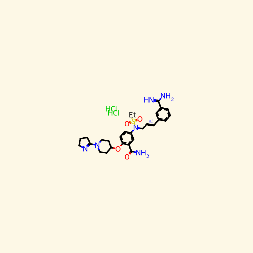 CCS(=O)(=O)N(C/C=C/c1cccc(C(=N)N)c1)c1ccc(OC2CCN(C3=NCCC3)CC2)c(C(N)=O)c1.Cl.Cl